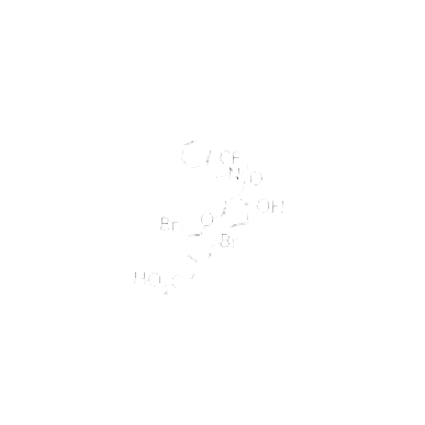 O=C(O)Cc1cc(Br)c(Oc2ccc(O)c(C(=O)N(Cc3ccccc3)C(F)(F)F)c2)c(Br)c1